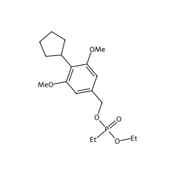 CCOP(=O)(CC)OCc1cc(OC)c(C2CCCC2)c(OC)c1